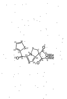 COC(=O)C1(C(=O)OC)CCn2c(C(=O)c3cccs3)ccc21